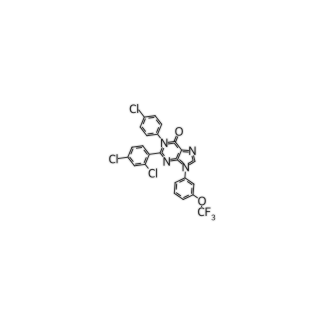 O=c1c2ncn(-c3cccc(OC(F)(F)F)c3)c2nc(-c2ccc(Cl)cc2Cl)n1-c1ccc(Cl)cc1